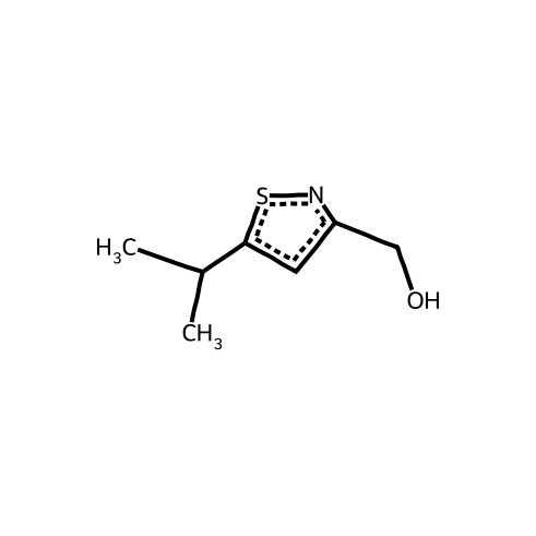 CC(C)c1cc(CO)ns1